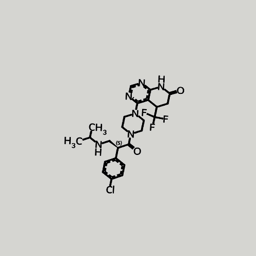 CC(C)NC[C@@H](C(=O)N1CCN(c2ncnc3c2C(C(F)(F)F)CC(=O)N3)CC1)c1ccc(Cl)cc1